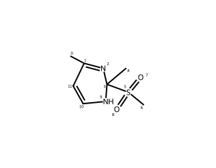 CC1=NC(C)(S(C)(=O)=O)NC=C1